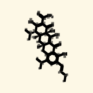 CO/N=C/c1cc(N(C)C)c2c(c1O)C(=O)C1=C(O)[C@]3(O)C(=O)C(C(N)=O)=C(O)[C@@H](N(C)C)[C@@H]3C[C@@H]1C2